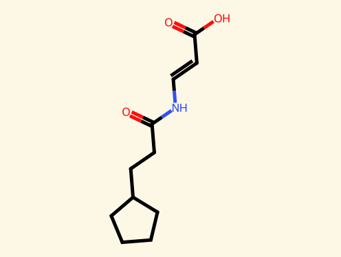 O=C(O)C=CNC(=O)CCC1CCCC1